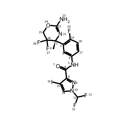 C[C@]1(c2cc(NC(=O)c3nn(C(F)F)cc3I)ccc2F)N=C(N)OCC1(F)F